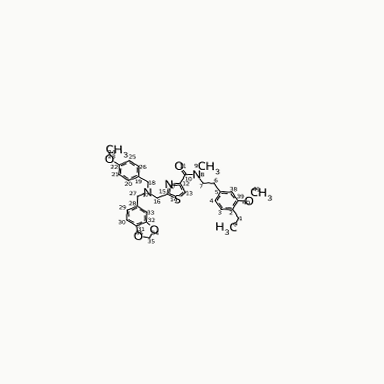 CCc1ccc(CCN(C)C(=O)c2csc(CN(Cc3ccc(OC)cc3)Cc3ccc4c(c3)OCO4)n2)cc1OC